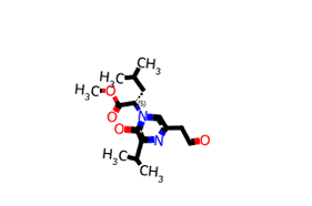 COC(=O)[C@H](CC(C)C)n1cc(CC=O)nc(C(C)C)c1=O